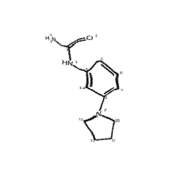 NC(=O)Nc1cccc(N2CCCC2)c1